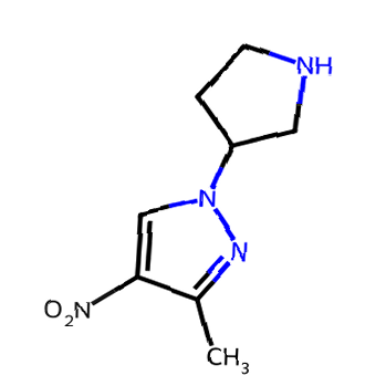 Cc1nn(C2CCNC2)cc1[N+](=O)[O-]